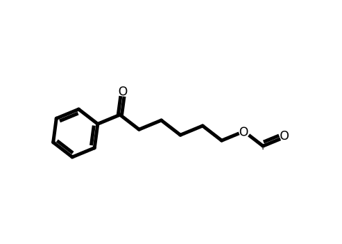 O=[C]OCCCCCC(=O)c1ccccc1